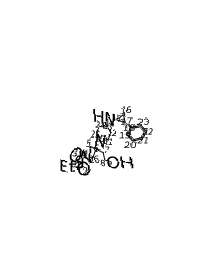 CCS(=O)(=O)N1CC(CCO)(N2CCC(N[C@@H]3C[C@H]3c3ccccc3)CC2)C1